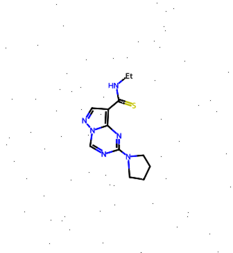 CCNC(=S)c1cnn2cnc(N3CCCC3)nc12